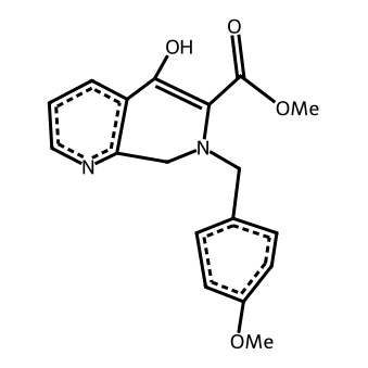 COC(=O)C1=C(O)c2cccnc2CN1Cc1ccc(OC)cc1